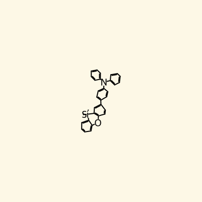 C[Si]1(C)c2ccccc2Oc2ccc(-c3ccc(N(c4ccccc4)c4ccccc4)cc3)cc21